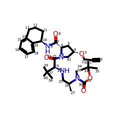 C#CCO[C@H]1C[C@@H](C(=O)N[C@@H]2CCCc3ccccc32)N(C(=O)[C@@H](NC[C@H](C)N(C)C(=O)OC(C)(C)C)C(C)(C)C)C1